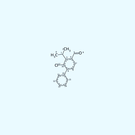 CC(C)c1c(C=O)ccc(-c2ccccc2)c1Cl